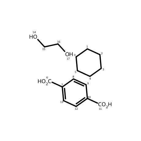 C1CCCCC1.O=C(O)c1ccc(C(=O)O)cc1.OCCO